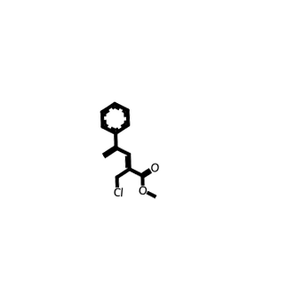 C=C(C=C(CCl)C(=O)OC)c1ccccc1